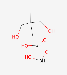 CC(C)(CO)CO.OBO.OBO